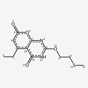 CCc1cc(=O)oc2nc(OCCSC)[nH]c(=O)c12